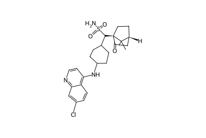 CC1(C)[C@@H]2CC[C@@]1(C(C1CCC(Nc3ccnc4cc(Cl)ccc34)CC1)S(N)(=O)=O)C(=O)C2